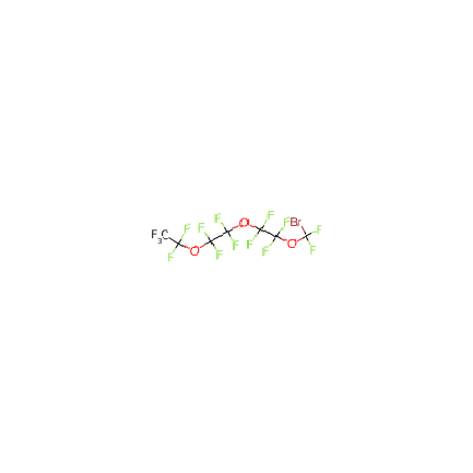 FC(F)(Br)OC(F)(F)C(F)(F)OC(F)(F)C(F)(F)OC(F)(F)C(F)(F)F